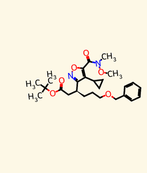 CON(C)C(=O)c1onc([C@@H](CCCOCc2ccccc2)CC(=O)OC(C)(C)C)c1C1CC1